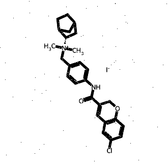 C[N+](C)(Cc1ccc(NC(=O)C2=Cc3cc(Cl)ccc3OC2)cc1)[C@H]1CC2CCC1C2.[I-]